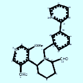 COc1cncc(OC)c1C1CCCC(C=O)N1Cc1cccc(-c2ccccn2)c1